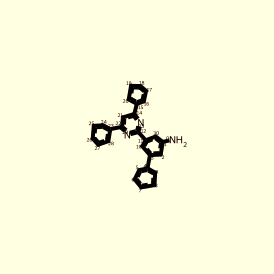 Nc1cc(-c2ccccc2)cc(-c2nc(-c3ccccc3)cc(-c3ccccc3)n2)c1